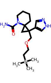 C[Si](C)(C)CCOCC1(c2cn[nH]c2)CC12CCCCN2C(N)=O